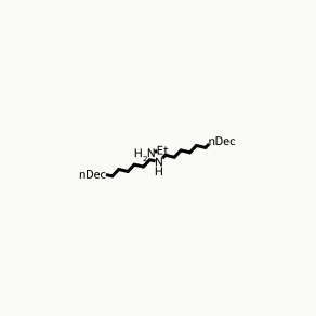 CCCCCCCCCCCCCCCCNCCCCCCCCCCCCCCCC.CCN